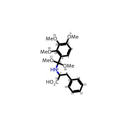 COc1ccc(C(NC(Cc2ccccc2)C(=O)O)(OC)OC)c(OC)c1OC